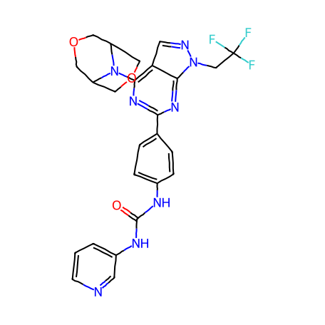 O=C(Nc1ccc(-c2nc(N3C4COCC3COC4)c3cnn(CC(F)(F)F)c3n2)cc1)Nc1cccnc1